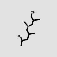 CC(O)CC(C)CN(C)CC(C)CO